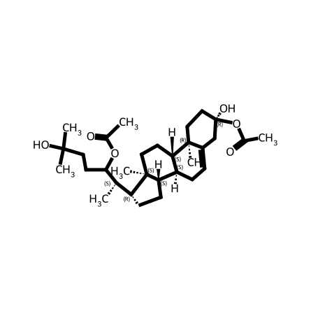 CC(=O)OC(CCC(C)(C)O)[C@@H](C)[C@H]1CC[C@H]2[C@@H]3CC=C4C[C@](O)(OC(C)=O)CC[C@]4(C)[C@H]3CC[C@]12C